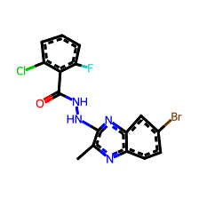 Cc1nc2ccc(Br)cc2nc1NNC(=O)c1c(F)cccc1Cl